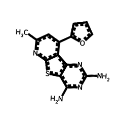 Cc1cc(-c2ccco2)c2c(n1)sc1c(N)nc(N)nc12